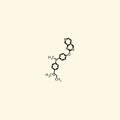 CC[C@@H](C)c1ccc(N(C)c2ccc(Oc3ncc4ccncc4n3)cc2)cc1